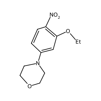 CCOc1cc(N2CCOCC2)ccc1[N+](=O)[O-]